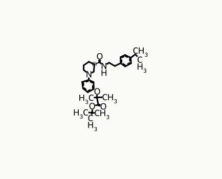 CC(C)c1ccc(CCNC(=O)[C@@H]2CCCN(c3cccc(OC(C)(C)C(=O)OC(C)(C)C)c3)C2)cc1